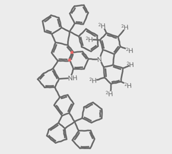 [2H]c1c([2H])c([2H])c2c(c1[2H])c1c([2H])c([2H])c([2H])c([2H])c1n2-c1cccc(Nc2c(-c3ccc4c(c3)-c3ccccc3C4(c3ccccc3)c3ccccc3)cccc2-c2ccc3c(c2)-c2ccccc2C3(c2ccccc2)c2ccccc2)c1